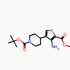 CCOC(=O)c1scc(C2CCN(C(=O)OC(C)(C)C)CC2)c1N